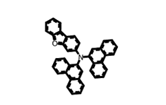 c1ccc2c(c1)cc(N(c1ccc3c(c1)oc1ccccc13)c1cc3ccccc3c3ccccc13)c1ccccc12